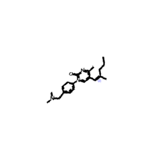 CCC/C(C)=C\c1cn(-c2ccc(CN(C)C)cc2)c(=O)nc1C